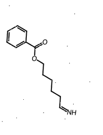 N=CCCCCCOC(=O)c1ccccc1